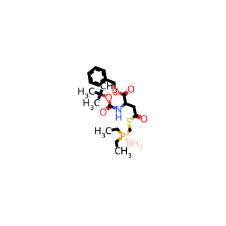 [BH3-][P+](CC)(CC)CSC(=O)CC(NC(=O)OC(C)(C)C)C(=O)OCc1ccccc1